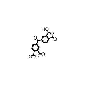 O=C(c1ccc2c(c1)C(=O)OC2=O)c1ccc2c(c1)C(O)OC2=O